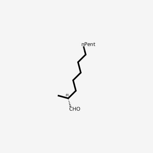 CCCCCCCCCC[C@@H](C)C=O